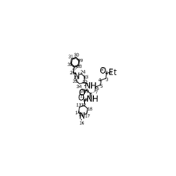 CCC(=O)CCCCC[C@H](NC(=O)C1CCN(C)CC1)C(=O)NC1CCN(Cc2ccccc2)CC1